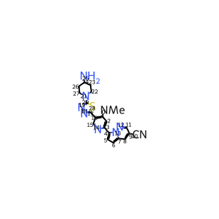 CNc1cc(-c2ccc3cc(C#N)cnn23)ncc1-c1nnc(N2CCC(N)CC2)s1